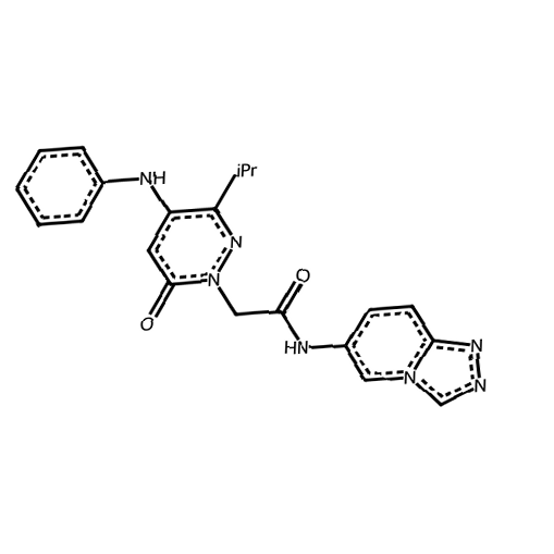 CC(C)c1nn(CC(=O)Nc2ccc3nncn3c2)c(=O)cc1Nc1ccccc1